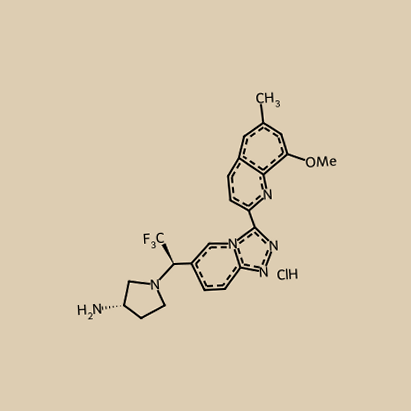 COc1cc(C)cc2ccc(-c3nnc4ccc([C@@H](N5CC[C@H](N)C5)C(F)(F)F)cn34)nc12.Cl